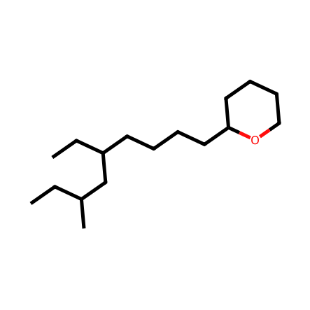 CCC(C)CC(CC)CCCCC1CCCCO1